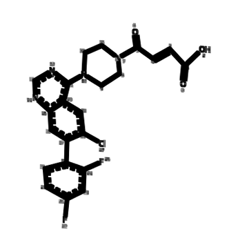 O=C(O)C=CC(=O)N1CCN(c2ncnc3cc(-c4ccc(F)cc4F)c(Cl)cc23)CC1